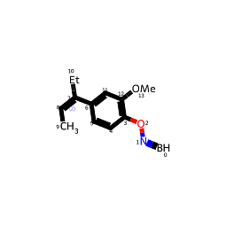 B=NOc1ccc(/C(=C\C)CC)cc1OC